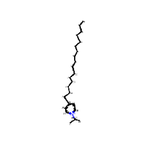 CCCCCCCCCCCCCCCCc1cc[n+](C(C)C)cc1